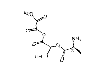 CC(=O)OC(=O)C(=O)OC(=O)C(C)OC(=O)[C@H](C)N.[LiH]